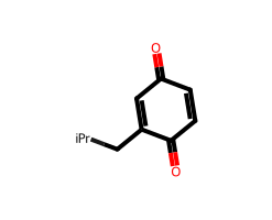 CC(C)CC1=CC(=O)C=CC1=O